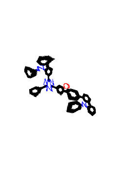 c1ccc(-c2nc(-c3ccc4c(c3)oc3cc(-c5cccc6c7ccccc7n(-c7ccccc7)c56)ccc34)nc(-c3ccc4c5ccccc5n(-c5ccccc5)c4c3)n2)cc1